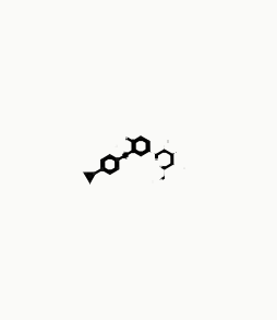 [2H]C([2H])(c1ccc(C2CC2)cc1)c1cc([C@@H]2O[C@H](CO)[C@@H](O)[C@H](O)[C@H]2O)ccc1Cl